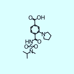 CC(C)N(C)S(=O)(=O)NC(=O)c1ccc(C(=O)O)cc1N1CCCC1